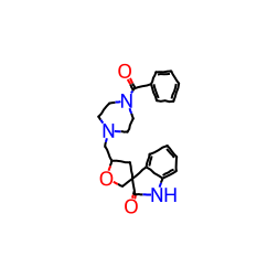 O=C(c1ccccc1)N1CCN(CC2CC3(CO2)C(=O)Nc2ccccc23)CC1